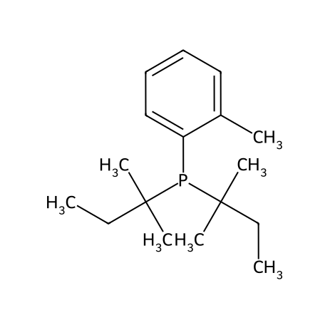 CCC(C)(C)P(c1ccccc1C)C(C)(C)CC